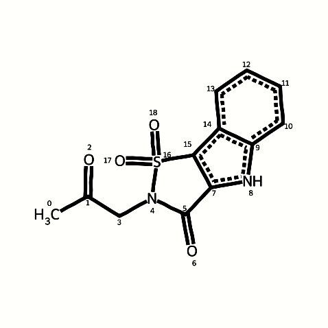 CC(=O)CN1C(=O)c2[nH]c3ccccc3c2S1(=O)=O